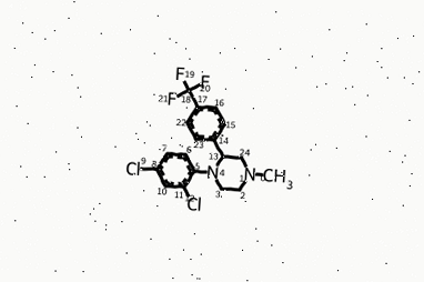 CN1CCN(c2ccc(Cl)cc2Cl)C(c2ccc(C(F)(F)F)cc2)C1